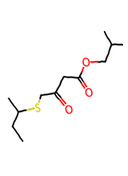 CCC(C)SCC(=O)CC(=O)OCC(C)C